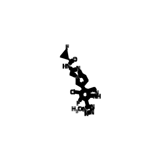 Cn1nnnc1-c1c(F)c(Cl)c(-c2ccc3nc(NC(=O)[C@@H]4C[C@@H]4F)cn3c2)c2cn[nH]c12